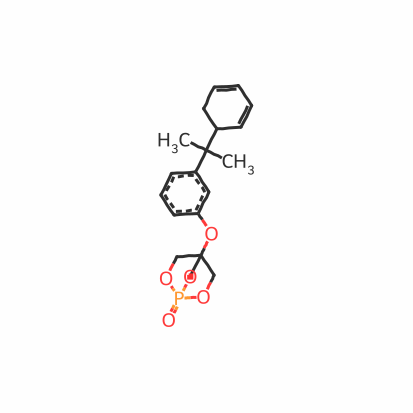 CC(C)(c1cccc(OC23COP(=O)(OC2)OC3)c1)C1C=CC=CC1